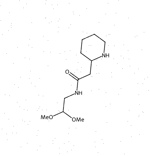 COC(CNC(=O)CC1CCCCN1)OC